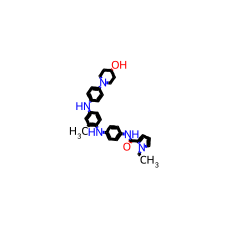 CCn1cccc1C(=O)Nc1ccc(Nc2ccc(Nc3ccc(N4CCC(O)CC4)cc3)cc2C)cc1